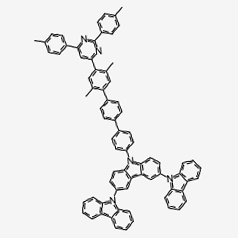 Cc1ccc(-c2cc(-c3cc(C)c(-c4ccc(-c5ccc(-n6c7ccc(-n8c9ccccc9c9ccccc98)cc7c7cc(-n8c9ccccc9c9ccccc98)ccc76)cc5)cc4)cc3C)nc(-c3ccc(C)cc3)n2)cc1